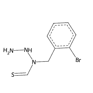 NNN(C=S)Cc1ccccc1Br